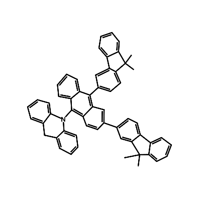 CC1(C)c2ccccc2-c2cc(-c3c4ccccc4c(N4c5ccccc5Cc5ccccc54)c4ccc(-c5ccc6c(c5)C(C)(C)c5ccccc5-6)cc34)ccc21